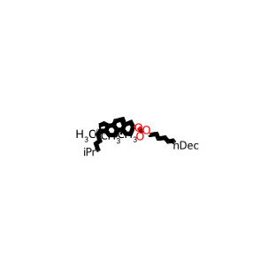 CCCCCCCCCCCCCCCCOC(=O)OC1CC[C@@]2(C)C(=CCC3C2CC[C@@]2(C)C3CC[C@@H]2[C@H](C)CCCC(C)C)C1